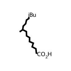 CCC(C)CCCCC(C)CCCCCCCCC(=O)O